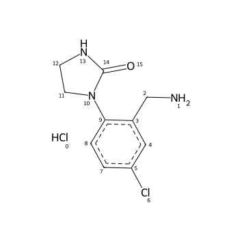 Cl.NCc1cc(Cl)ccc1N1CCNC1=O